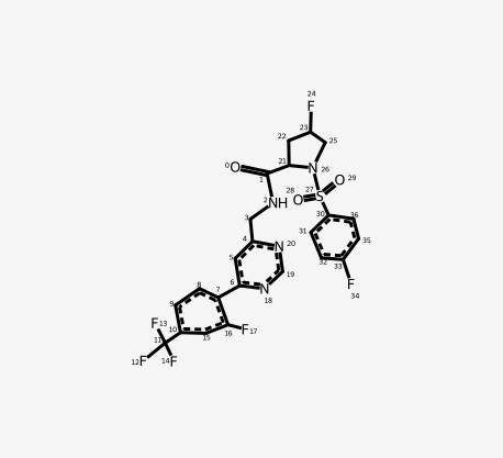 O=C(NCc1cc(-c2ccc(C(F)(F)F)cc2F)ncn1)C1CC(F)CN1S(=O)(=O)c1ccc(F)cc1